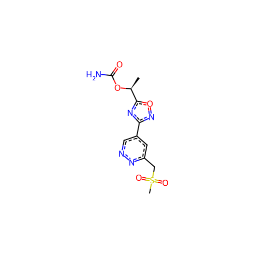 C[C@H](OC(N)=O)c1nc(-c2cnnc(CS(C)(=O)=O)c2)no1